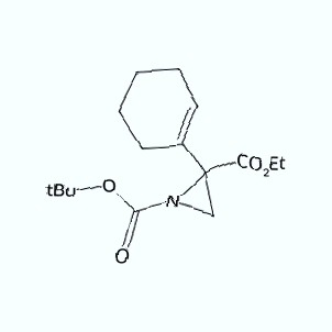 CCOC(=O)C1(C2=CCCCC2)CN1C(=O)OC(C)(C)C